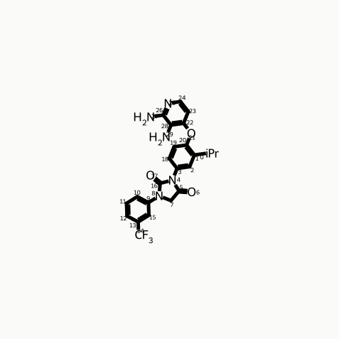 CC(C)c1cc(N2C(=O)CN(c3cccc(C(F)(F)F)c3)C2=O)ccc1Oc1ccnc(N)c1N